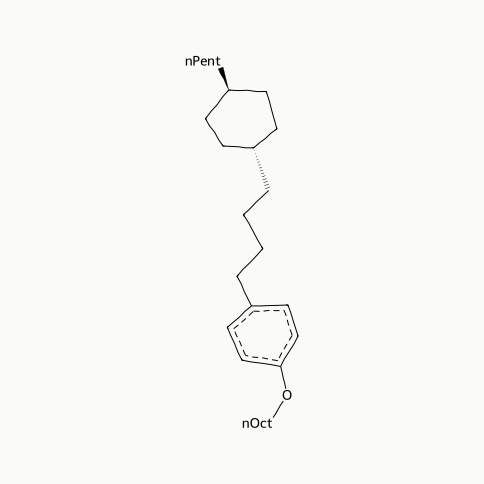 CCCCCCCCOc1ccc(CCCC[C@H]2CC[C@H](CCCCC)CC2)cc1